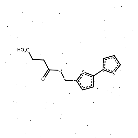 O=C(O)CCC(=O)OCc1ccc(-c2cccs2)s1